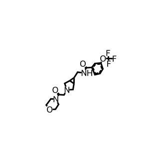 O=C(NCC1C2CN(CC(=O)N3CCOCC3)CC12)c1cccc(OC(F)(F)F)c1